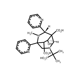 CN1[C@H](c2ccccn2)C2(C(=O)O)CN(C(C)(C)C(=O)O)CC1(c1ccccn1)C(C(=O)O)[C@@H]2O